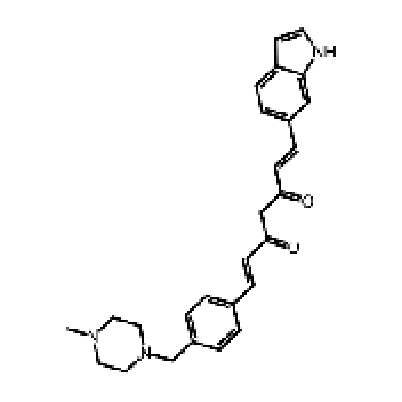 CN1CCN(Cc2ccc(C=CC(=O)CC(=O)C=Cc3ccc4cc[nH]c4c3)cc2)CC1